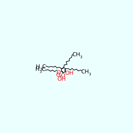 CCCCCCCCc1c(O)c(OC(=O)O)c(OCCCCCCC)c(CCCCCCCC)c1CCCCCCCC